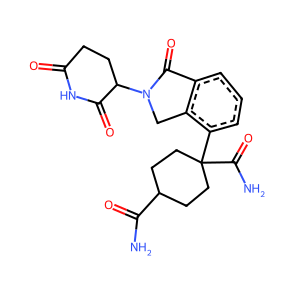 NC(=O)C1CCC(C(N)=O)(c2cccc3c2CN(C2CCC(=O)NC2=O)C3=O)CC1